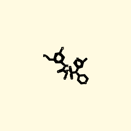 CC(C)Cc1cc(Cl)cc(NC(=O)[NH+]([O-])S(=O)(=O)N(c2cnn(C)c2)C2CCOCC2)c1